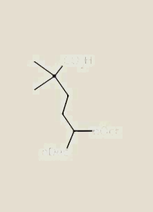 CCCCCCCCCCC(CCCCCCCC)CCC(C)(C)C(=O)O